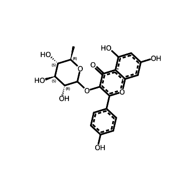 C[C@H]1OC(Oc2c(-c3ccc(O)cc3)oc3cc(O)cc(O)c3c2=O)[C@H](O)[C@@H](O)[C@@H]1O